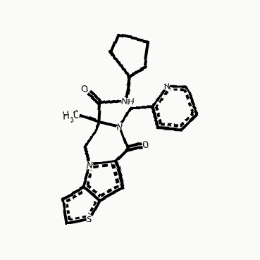 CC1(C(=O)NC2CCCC2)Cn2c(cc3sccc32)C(=O)N1Cc1ccccn1